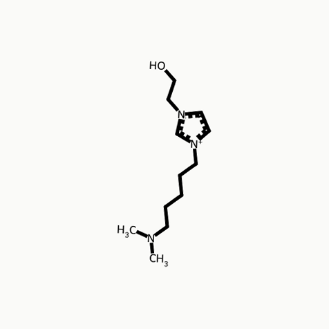 CN(C)CCCCC[n+]1ccn(CCO)c1